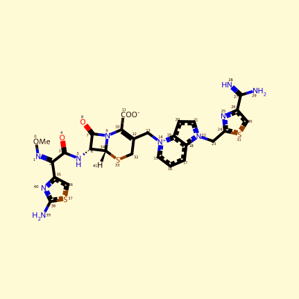 CO/N=C(\C(=O)N[C@@H]1C(=O)N2C(C(=O)[O-])=C(C[n+]3cccc4c3ccn4Cc3nc(C(=N)N)cs3)CS[C@H]12)c1csc(N)n1